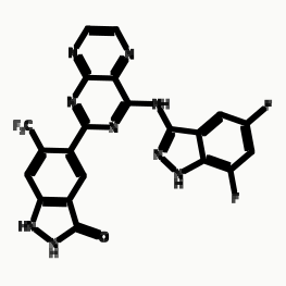 O=c1[nH][nH]c2cc(C(F)(F)F)c(-c3nc(Nc4n[nH]c5c(F)cc(F)cc45)c4nccnc4n3)cc12